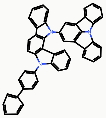 c1ccc(-c2ccc(-n3c4ccccc4c4c3ccc3c5ccccc5n(-c5cc6c7ccccc7n7c8ccccc8c(c5)c67)c34)cc2)cc1